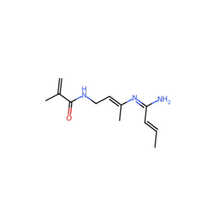 C=C(C)C(=O)NC/C=C(C)/N=C(N)\C=C\C